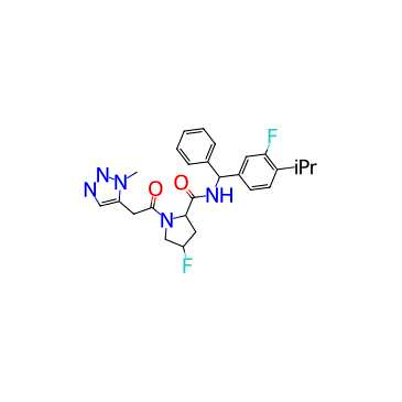 CC(C)c1ccc(C(NC(=O)C2CC(F)CN2C(=O)Cc2cnnn2C)c2ccccc2)cc1F